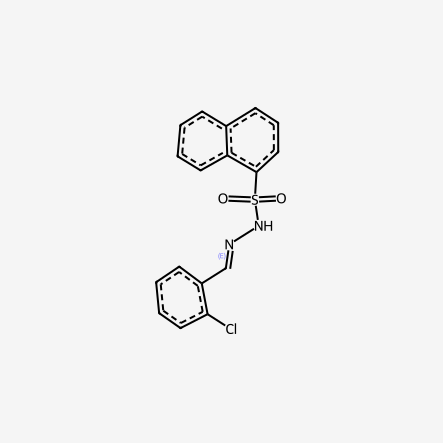 O=S(=O)(N/N=C/c1ccccc1Cl)c1cccc2ccccc12